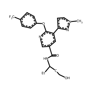 CCC(CCO)NC(=O)c1cnc(Oc2ccc(C(F)(F)F)cc2)c(-c2ccn(C)n2)c1